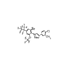 Cc1cc(-c2cnn(-c3c(Br)cc(C(F)(C(F)(F)F)C(F)(F)F)cc3OC(F)(F)F)c2)ccc1Cl